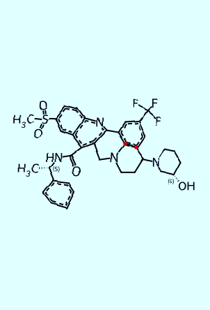 C[C@H](NC(=O)c1c(CN2CCC(N3CCC[C@H](O)C3)CC2)c(-c2cccc(C(F)(F)F)c2)nc2ccc(S(C)(=O)=O)cc12)c1ccccc1